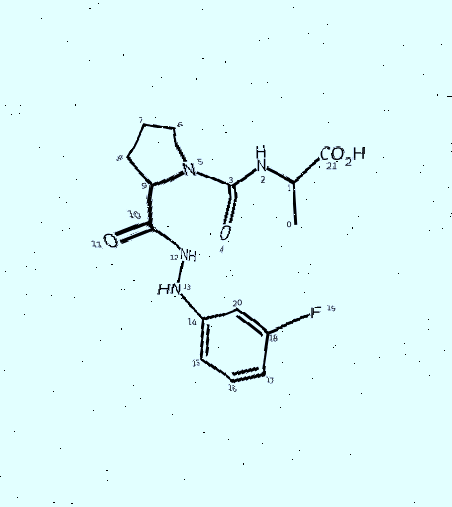 CC(NC(=O)N1CCCC1C(=O)NNc1cccc(F)c1)C(=O)O